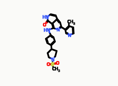 Cc1ccncc1-c1cc2cc[nH]c(=O)c2c(Nc2ccc(C3CCN(S(C)(=O)=O)CC3)cc2)n1